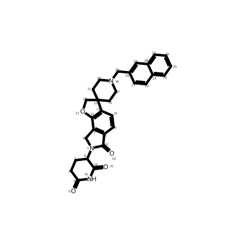 O=C1CCC(N2Cc3c(ccc4c3OCC43CCN(Cc4ccc5ccccc5c4)CC3)C2=O)C(=O)N1